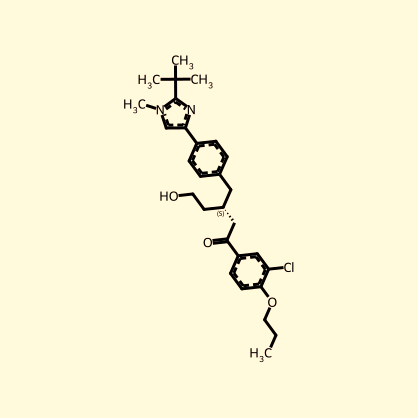 CCCOc1ccc(C(=O)C[C@H](CCO)Cc2ccc(-c3cn(C)c(C(C)(C)C)n3)cc2)cc1Cl